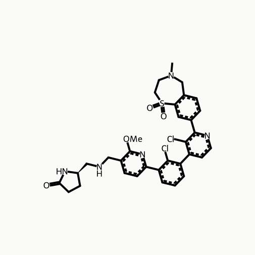 COc1nc(-c2cccc(-c3ccnc(-c4ccc5c(c4)S(=O)(=O)CCN(C)C5)c3Cl)c2Cl)ccc1CNC[C@H]1CCC(=O)N1